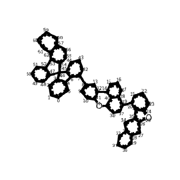 c1ccc2c(c1)-c1c(-c3ccc4c(c3)-c3cccc5c(-c6cccc7oc8cc9ccccc9cc8c67)ccc(c35)O4)cccc1C21c2ccccc2-c2c1ccc1ccccc21